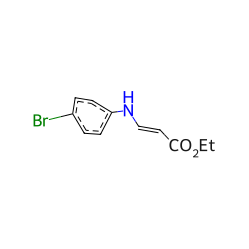 CCOC(=O)C=CNc1ccc(Br)cc1